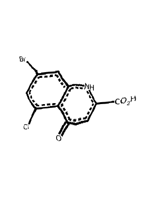 O=C(O)c1cc(=O)c2c(Cl)cc(Br)cc2[nH]1